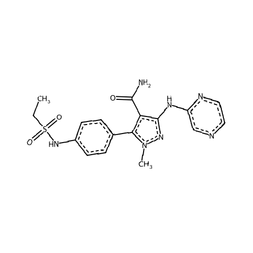 CCS(=O)(=O)Nc1ccc(-c2c(C(N)=O)c(Nc3cnccn3)nn2C)cc1